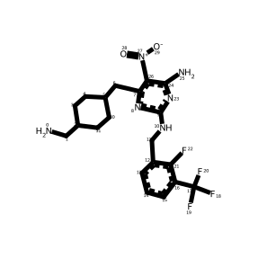 NCC1CCC(Cc2nc(NCc3cccc(C(F)(F)F)c3F)nc(N)c2[N+](=O)[O-])CC1